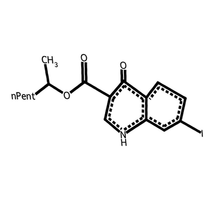 CCCCCC(C)OC(=O)c1c[nH]c2cc(I)ccc2c1=O